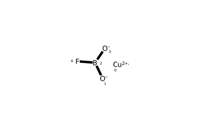 [Cu+2].[O-]B([O-])F